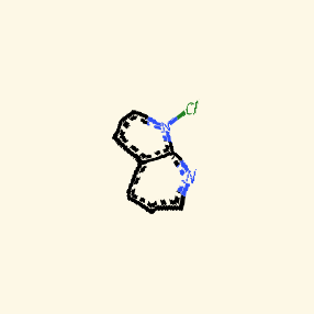 Cln1ccc2cccnc21